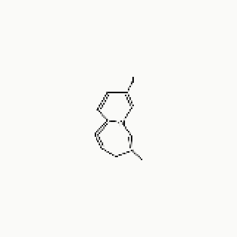 CC1=CN2C=C(I)C=CC2=C=CC1